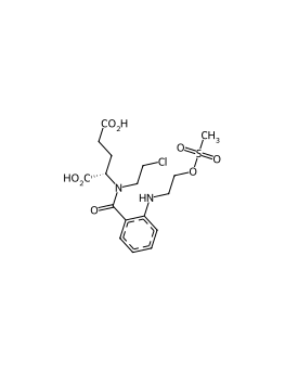 CS(=O)(=O)OCCNc1ccccc1C(=O)N(CCCl)[C@@H](CCC(=O)O)C(=O)O